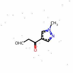 Cn1cc(C(=O)CC=O)cn1